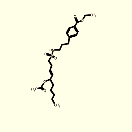 CCCCCC(/C=C/CCS(=O)(=O)NCCCc1ccc(C(=O)OCC)cc1)OC(C)=O